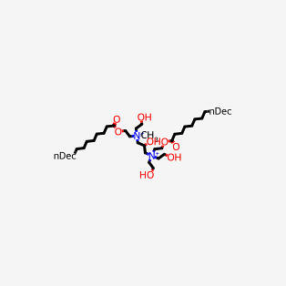 CCCCCCCCCCCCCCCCCC(=O)OCC[N+](C)(CCO)CC(O)C[N+](CCO)(CCO)CCOC(=O)CCCCCCCCCCCCCCCCC